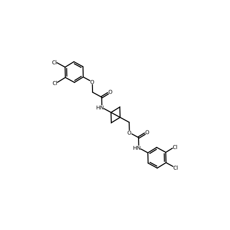 O=C(COc1ccc(Cl)c(Cl)c1)NC12CC1(COC(=O)Nc1ccc(Cl)c(Cl)c1)C2